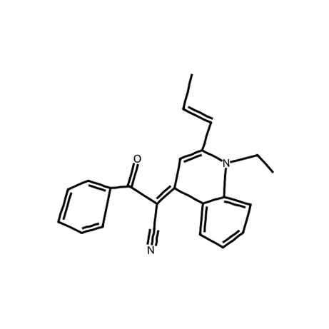 C/C=C/C1=CC(=C(/C#N)C(=O)c2ccccc2)/c2ccccc2N1CC